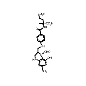 C[C@@](CCC(=O)O)(NC(=O)c1ccc(NCC2CNc3nc(N)nc(O)c3N2C=O)cc1)C(=O)O